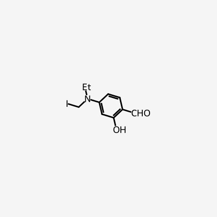 CCN(CI)c1ccc(C=O)c(O)c1